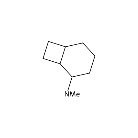 CNC1CCCC2CCC21